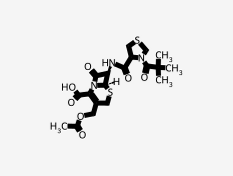 CC(=O)OCC1=C(C(=O)O)N2C(=O)[C@@H](NC(=O)C3CSCN3C(=O)C(C)(C)C)[C@H]2SC1